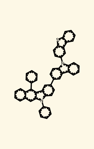 c1ccc(-c2c3ccccc3cc3c2c2cc(-c4ccc5c(c4)c4ccccc4n5-c4ccc5sc6ccccc6c5c4)ccc2n3-c2ccccc2)cc1